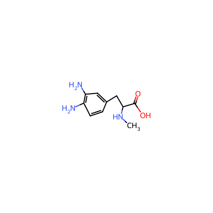 CNC(Cc1ccc(N)c(N)c1)C(=O)O